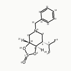 O=S1O[C@@H]2[C@@H](C(F)F)CN(Cc3ccccc3)C[C@H]2O1